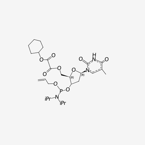 C=CCOP(OC1C[C@H](n2cc(C)c(=O)[nH]c2=O)O[C@@H]1COC(=O)C(=O)OC1CCCCC1)N(C(C)C)C(C)C